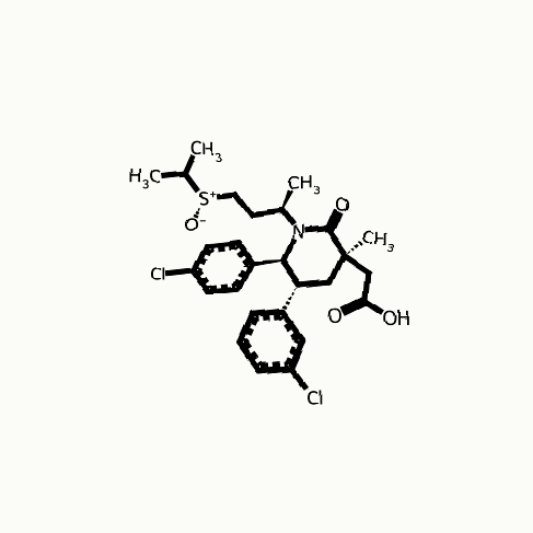 CC(C)[S@@+]([O-])CC[C@@H](C)N1C(=O)[C@@](C)(CC(=O)O)C[C@H](c2cccc(Cl)c2)[C@H]1c1ccc(Cl)cc1